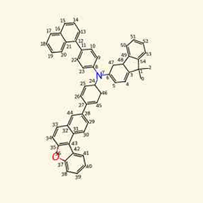 CC1(C)C2=CC=C(N(c3ccc(-c4cccc5ccccc45)cc3)C3C=CC(c4ccc5c(ccc6oc7ccccc7c65)c4)=CC3)CC2c2ccccc21